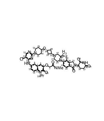 CNC(=O)COc1cc2cc(Nc3nc(N4CCC(O[C@H]5C[C@H](N6CCN(c7ccc8c(c7F)CN([C@@H]7CCC(=O)NC7=O)C8=O)[C@H](C)C6)C5)CC4)ncc3Cl)ccc2n(C(C)C)c1=O